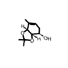 CC1=CC[C@@H](O)[C@@H]2OC(C)(C)O[C@H]12